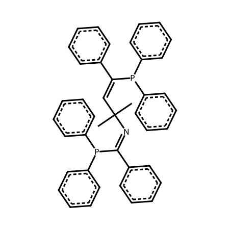 CC(C)(C=C(c1ccccc1)P(c1ccccc1)c1ccccc1)N=C(c1ccccc1)P(c1ccccc1)c1ccccc1